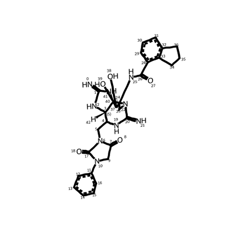 N=C1N[C@H]2C(CN3C(=O)CN(c4ccccc4)C3=O)NC(=N)N3CC(NC(=O)c4cccc5c4CCC5)C(O)(O)[C@]23N1